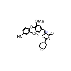 COc1cc(/C=C2\SC(N3CCOCC3)=NC2=O)ccc1Oc1ccc(C#N)cc1C(F)(F)F